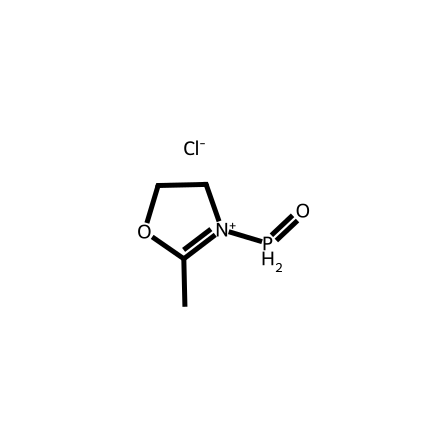 CC1=[N+]([PH2]=O)CCO1.[Cl-]